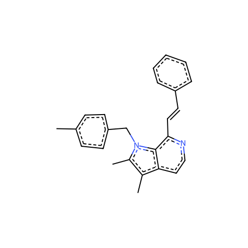 Cc1ccc(Cn2c(C)c(C)c3ccnc(C=Cc4ccccc4)c32)cc1